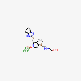 Cc1c(SCCNCCO)ccnc1CSc1nc2ccccc2[nH]1.Cl.Cl.Cl.O